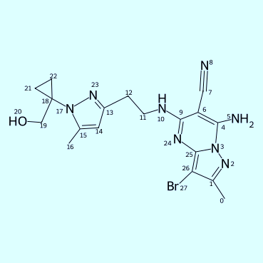 Cc1nn2c(N)c(C#N)c(NCCc3cc(C)n(C4(CO)CC4)n3)nc2c1Br